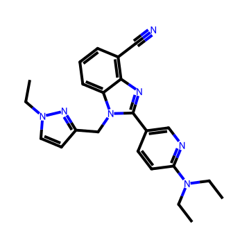 CCN(CC)c1ccc(-c2nc3c(C#N)cccc3n2Cc2ccn(CC)n2)cn1